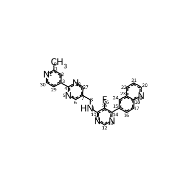 Cc1cc(-c2ncc(CNc3ncnc(-c4ccc5ncccc5c4)c3F)cn2)ccn1